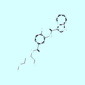 CSCC[C@@H](CO)NC(=O)c1ccc(F)c(NC(=O)c2cnc3ccccn23)c1